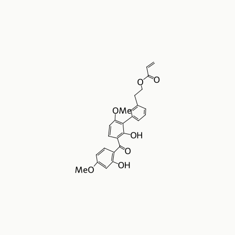 C=CC(=O)OCCc1cccc(-c2c(OC)ccc(C(=O)c3ccc(OC)cc3O)c2O)c1